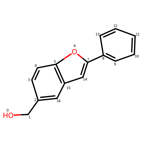 OCc1ccc2oc(-c3ccccc3)cc2c1